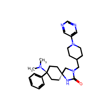 CN(C)[C@]1(c2ccccc2)CC[C@]2(CC1)CN(CC1CCN(c3cncnc3)CC1)C(=O)N2